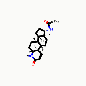 CNC(=O)N[C@H]1CC[C@H]2[C@@H]3CC[C@H]4N(C)C(=O)C=C[C@]4(C)[C@H]3CC[C@]12C